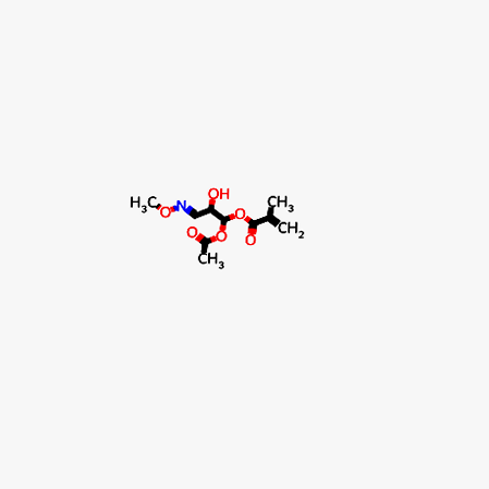 C=C(C)C(=O)OC(OC(C)=O)C(O)C=NOC